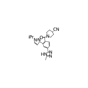 Cc1nnc(-c2ccc(C(=O)N3CCC(C#N)CC3)c(-c3ccn(C(C)C)n3)c2)[nH]1